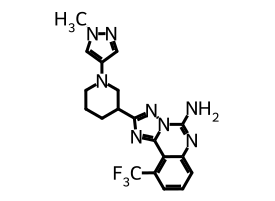 Cn1cc(N2CCCC(c3nc4c5c(C(F)(F)F)cccc5nc(N)n4n3)C2)cn1